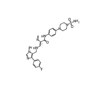 C=N/C(=C\NCc1c(-c2ccc(F)cc2)ncn1C(C)C)C(=O)Nc1ccc(N2CCN(S(N)(=O)=O)CC2)cc1